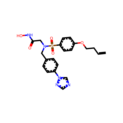 C=CCCOc1ccc(S(=O)(=O)N(CC(=O)NO)Cc2ccc(-n3cncn3)cc2)cc1